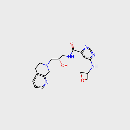 O=C(NC[C@H](O)CN1CCc2cccnc2C1)c1cc(NC2COC2)ncn1